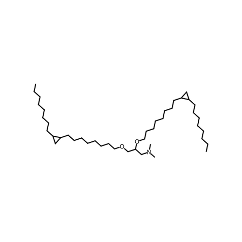 CCCCCCCCC1CC1CCCCCCCCOCC(CN(C)C)OCCCCCCCCC1CC1CCCCCCCC